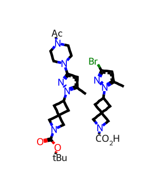 CC(=O)N1CCN(c2cc(C)n(C3CC4(C3)CN(C(=O)OC(C)(C)C)C4)n2)CC1.Cc1cc(Br)nn1C1CC2(C1)CN(C(=O)O)C2